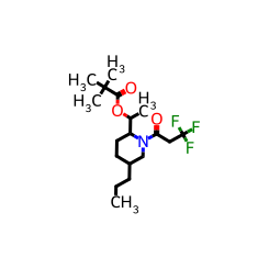 CCCC1CCC(C(C)OC(=O)C(C)(C)C)N(C(=O)CC(F)(F)F)C1